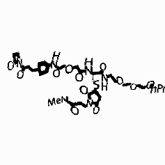 CCCOCCOCCOCCNC(=O)[C@H](CSC1CC(=O)N(CCC(=O)NC)C1=O)NC(=O)COCC(=O)Nc1ccc(CCC(=O)N2CCC2=O)cc1